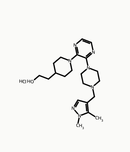 Cc1c(CN2CCN(c3nccnc3N3CCC(CCO)CC3)CC2)cnn1C.Cl